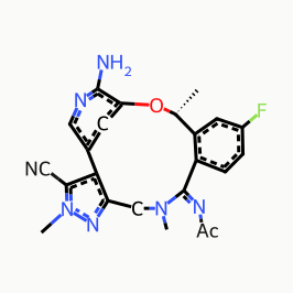 CC(=O)/N=C1/c2ccc(F)cc2[C@@H](C)Oc2cc(cnc2N)-c2c(nn(C)c2C#N)CN1C